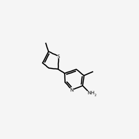 CC1=CCC(c2cnc(N)c(C)c2)S1